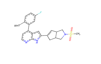 COc1ccc(F)cc1-c1ccnc2[nH]c(C3=CC4CN(S(C)(=O)=O)CC4C3)cc12